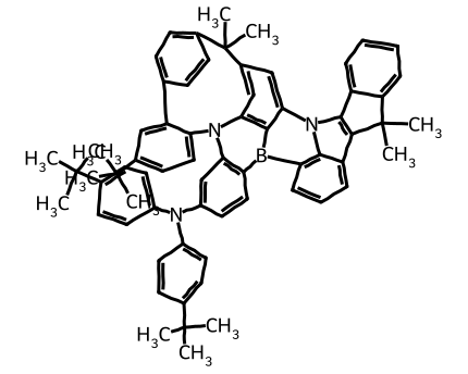 CC(C)(C)c1ccc(N(c2ccc(C(C)(C)C)cc2)c2ccc3c(c2)N2c4ccc(C(C)(C)C)cc4-c4ccc(cc4)C(C)(C)c4cc2c2c(c4)-n4c5c(c6cccc(c64)B32)C(C)(C)c2ccccc2-5)cc1